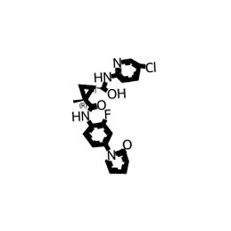 C[C@@]1(C(=O)Nc2ccc(-n3ccccc3=O)cc2F)C[C@@H]1C(O)Nc1ccc(Cl)cn1